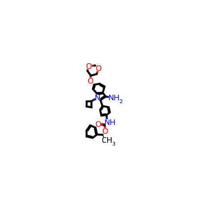 C[C@@H](OC(=O)Nc1ccc(-c2c(N)c3ccc(OC4COCOC4)cc3n2C2CCC2)cc1)c1ccccc1